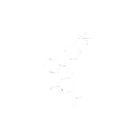 C=CC(=O)NCc1cc(-c2ccc(OC(F)(F)F)cc2)c2nccnc2c1[C@@H](O)CO